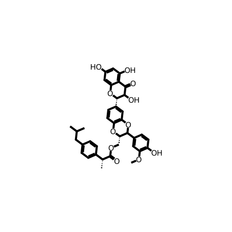 COc1cc(C2Oc3cc([C@@H]4Oc5cc(O)cc(O)c5C(=O)C4O)ccc3O[C@H]2COC(=O)[C@H](C)c2ccc(CC(C)C)cc2)ccc1O